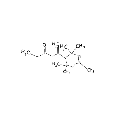 C=C(CC(=O)CC)C1C(C)(C)C=C(C)CC1(C)C